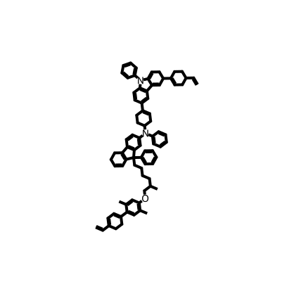 C=CC1=CC=C(c2cc(C)c(OCC(C)CCCCC3(c4ccccc4)C4=C(CCC=C4)c4ccc(N(c5ccccc5)C5CC=C(c6ccc7c(c6)c6c(n7-c7ccccc7)=CCC(C7=CCC(C=C)CC7)C=6)CC5)cc43)cc2C)CC1